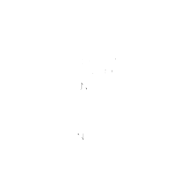 C[C@H]1C[C@@H](C#N)CN1C(=O)OC(C)(C)C